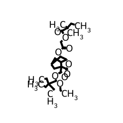 CCOC(OC(=O)C12CC3CC1C(OC2=O)C3OC(=O)COC(=O)C(C)(C)CC)C(CC)(CC)CC